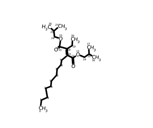 CCCCCCCCCCC(C(=O)OCC(C)C)=C(CC)C(=O)OCC(C)C